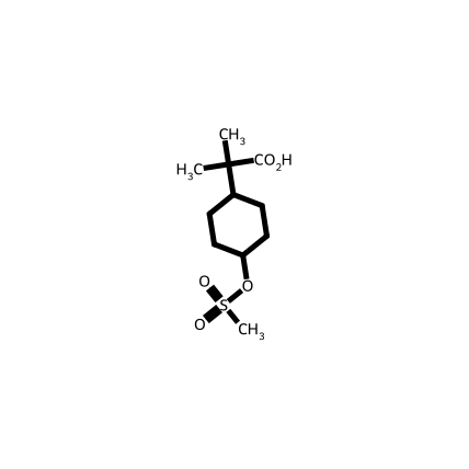 CC(C)(C(=O)O)C1CCC(OS(C)(=O)=O)CC1